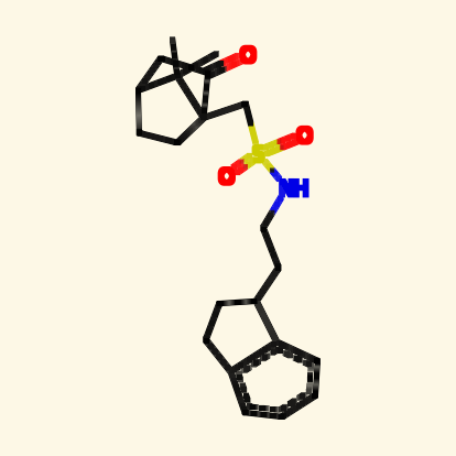 CC1(C)C2CCC1(CS(=O)(=O)NCCC1CCc3ccccc31)C(=O)C2